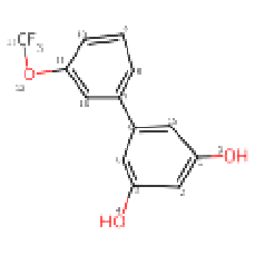 Oc1cc(O)cc(-c2cccc(OC(F)(F)F)c2)c1